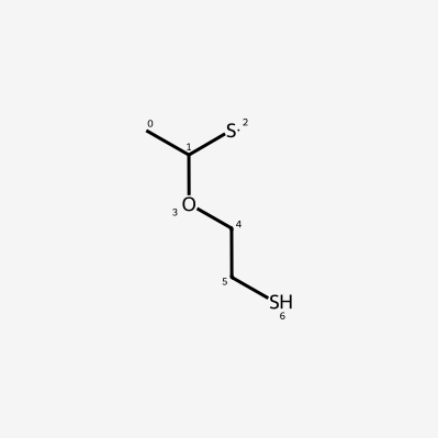 CC([S])OCCS